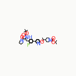 CC(C)OC(=O)N1CCC(C(C)Oc2ccc(-c3ccc(C[C@H](NC(=O)OC(C)(C)C)C(=O)N4CCCC4)c(F)c3)cn2)CC1